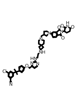 CC(C)(c1ccc(OCc2ccnc(NCCNC3CC4(CCN(CC5CCN(c6ccc7c(c6)C(=O)N(C6CCC(=O)NC6=O)C7=O)C5)CC4)C3)n2)cc1)c1cc(Cl)cc(C#N)c1